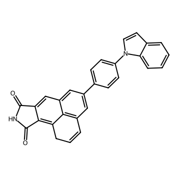 O=C1NC(=O)c2c1cc1cc(-c3ccc(-n4ccc5ccccc54)cc3)cc3c1c2CC=C3